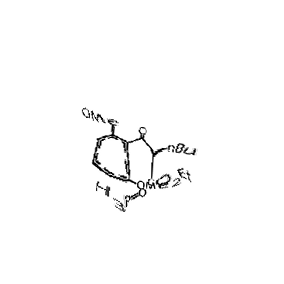 CCCCC(C(=O)OCC)C(=O)c1c(OC)cccc1OC.O=[PH3]